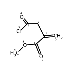 C=C(CC(=O)Cl)C(=O)OC